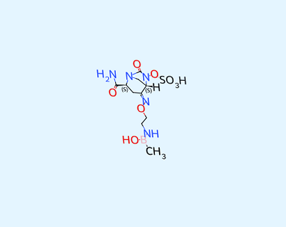 CB(O)NCCON=C1C[C@@H](C(N)=O)N2C[C@@H]1N(OS(=O)(=O)O)C2=O